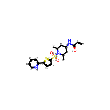 C=CC(=O)NC1CC(C)N(S(=O)(=O)c2ccc(-c3ccccn3)s2)C(C)C1